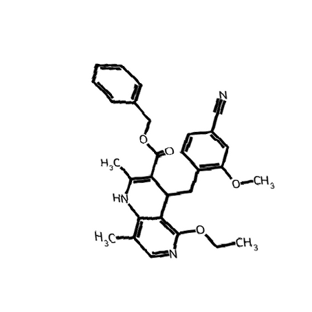 CCOc1ncc(C)c2c1C(Cc1ccc(C#N)cc1OC)C(C(=O)OCc1ccccc1)=C(C)N2